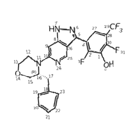 Oc1c(F)c(-c2n[nH]c3cc(N4CCOC[C@H]4Cc4ccccc4)ncc23)cc(C(F)(F)F)c1F